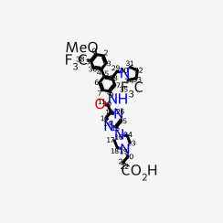 COc1ccc(-c2ccc(NC(=O)c3cnc(N4CCN(CCC(=O)O)CC4)cn3)cc2CN2CCC[C@H]2C(F)(F)F)cc1C(F)(F)F